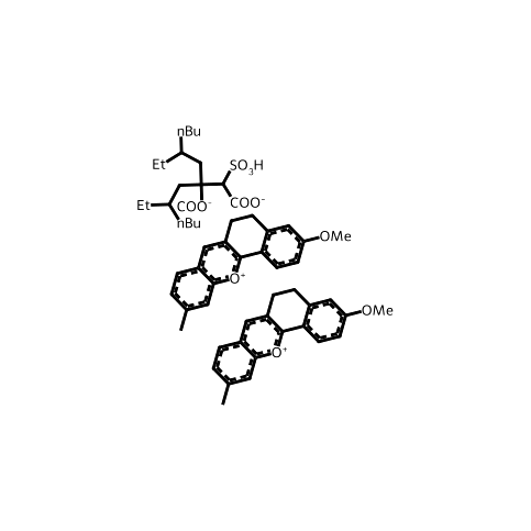 CCCCC(CC)CC(CC(CC)CCCC)(C(=O)[O-])C(C(=O)[O-])S(=O)(=O)O.COc1ccc2c(c1)CCc1cc3ccc(C)cc3[o+]c1-2.COc1ccc2c(c1)CCc1cc3ccc(C)cc3[o+]c1-2